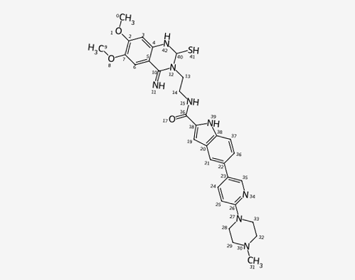 COc1cc2c(cc1OC)C(=N)N(CCNC(=O)c1cc3cc(-c4ccc(N5CCN(C)CC5)nc4)ccc3[nH]1)C(S)N2